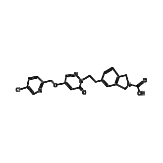 O=C(O)N1Cc2ccc(CCn3ncc(OCc4ccc(Cl)cn4)cc3=O)cc2C1